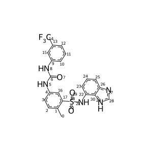 Cc1ccc(NC(=O)Nc2cccc(C(F)(F)F)c2)cc1S(=O)(=O)Nc1cccc2nc[nH]c12